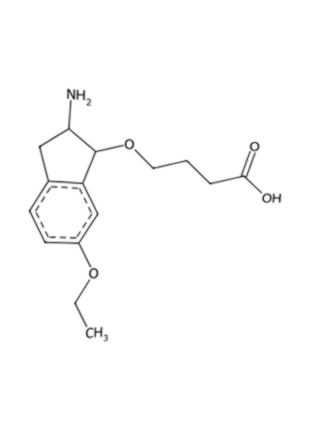 CCOc1ccc2c(c1)C(OCCCC(=O)O)C(N)C2